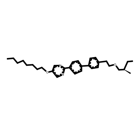 CCCCCCCCOc1cnc(-c2ccc(-c3ccc(CCOC[C@H](C)CC)cc3)cc2)nc1